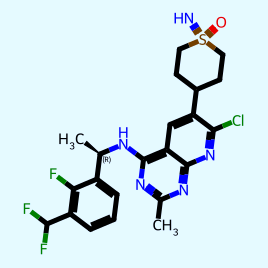 Cc1nc(N[C@H](C)c2cccc(C(F)F)c2F)c2cc(C3CCS(=N)(=O)CC3)c(Cl)nc2n1